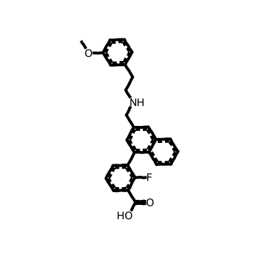 COc1cccc(CCNCc2cc(-c3cccc(C(=O)O)c3F)c3ccccc3c2)c1